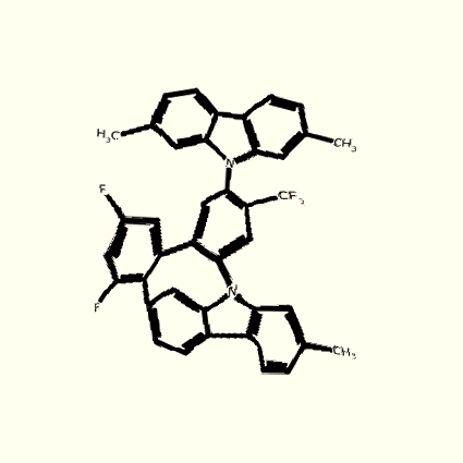 Cc1ccc2c3ccc4cc3n(c2c1)-c1cc(C(F)(F)F)c(-n2c3cc(C)ccc3c3ccc(C)cc32)cc1-c1cc(F)cc(F)c1-4